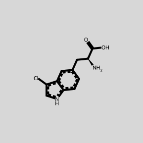 N[C@@H](Cc1ccc2[nH]cc(Cl)c2c1)C(=O)O